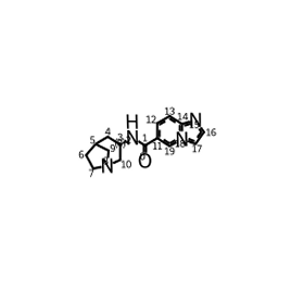 O=C(N[C@@H]1CC2CCN(C2)C1)c1ccc2nccn2c1